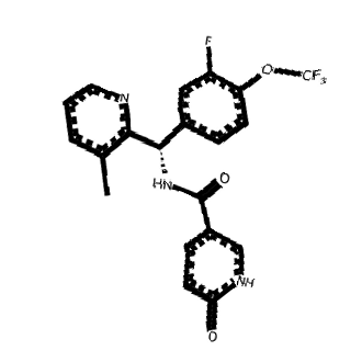 Cc1cccnc1[C@@H](NC(=O)c1ccc(=O)[nH]c1)c1ccc(OC(F)(F)F)c(F)c1